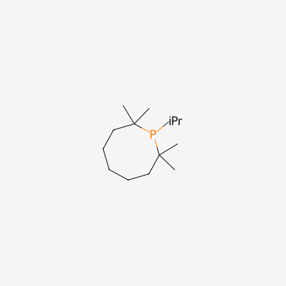 CC(C)P1C(C)(C)CCCCCC1(C)C